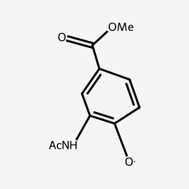 COC(=O)c1ccc([O])c(NC(C)=O)c1